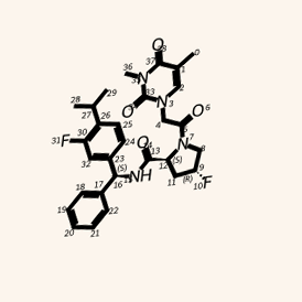 Cc1cn(CC(=O)N2C[C@H](F)C[C@H]2C(=O)N[C@@H](c2ccccc2)c2ccc(C(C)C)c(F)c2)c(=O)n(C)c1=O